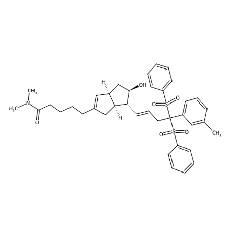 Cc1cccc(C(C/C=C/[C@@H]2[C@H]3CC(CCCCC(=O)N(C)C)=C[C@H]3C[C@H]2O)(S(=O)(=O)c2ccccc2)S(=O)(=O)c2ccccc2)c1